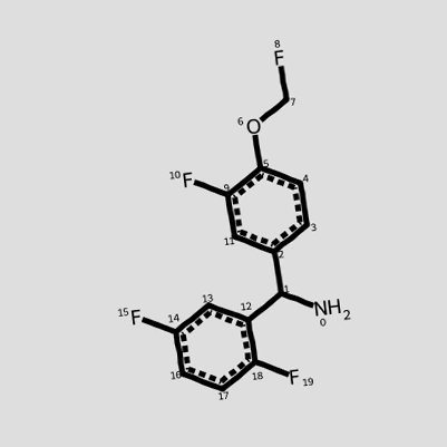 NC(c1ccc(OCF)c(F)c1)c1cc(F)ccc1F